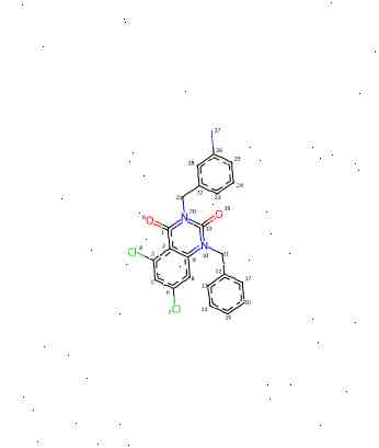 O=c1c2c(Cl)cc(Cl)cc2n(Cc2ccccc2)c(=O)n1Cc1cccc(I)c1